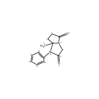 CC12CCC(=O)N1CC(=O)N2c1ccccc1